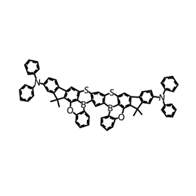 CC1(C)c2cc(N(c3ccccc3)c3ccccc3)ccc2-c2cc3c4c(c21)Oc1ccccc1B4c1cc2c(cc1S3)Sc1cc3c(c4c1B2c1ccccc1O4)C(C)(C)c1cc(N(c2ccccc2)c2ccccc2)ccc1-3